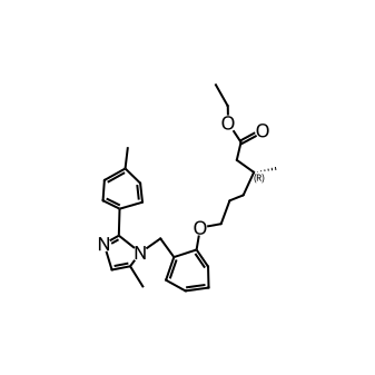 CCOC(=O)C[C@H](C)CCCOc1ccccc1Cn1c(C)cnc1-c1ccc(C)cc1